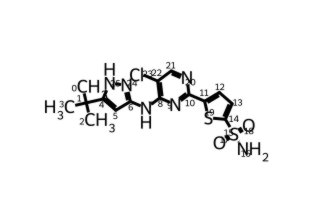 CC(C)(C)c1cc(Nc2nc(-c3ccc(S(N)(=O)=O)s3)ncc2Cl)n[nH]1